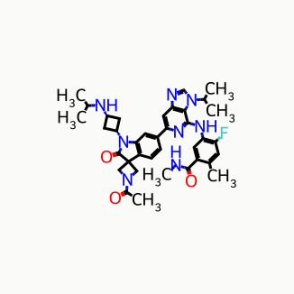 CNC(=O)c1cc(Nc2nc(-c3ccc4c(c3)N([C@H]3C[C@@H](NC(C)C)C3)C(=O)C43CN(C(C)=O)C3)cc3ncn(C(C)C)c23)c(F)cc1C